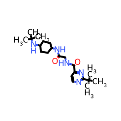 CC(C)(C)NC1CCC(NC(=O)CNC(=O)c2ccnc(C(C)(C)C)n2)CC1